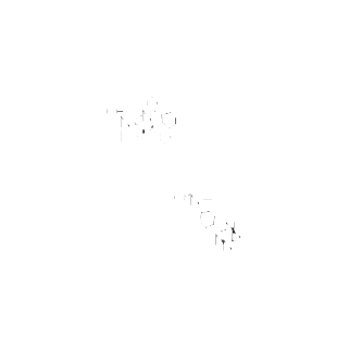 Cc1nnc(-c2ccc(CNC(=O)CCCCCCCOc3cccc4c3C(=O)N(C3CCC(=O)NC3=O)C4=O)cc2)nn1